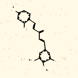 COc1ccc(/C=C/C(=O)/C=C/c2cc(OC)c(OC)c(OC)c2)c(O)c1